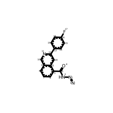 [N]=NNC(=O)c1cccc2cnc(-c3ccc(F)cc3)cc12